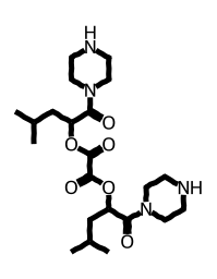 CC(C)CC(OC(=O)C(=O)OC(CC(C)C)C(=O)N1CCNCC1)C(=O)N1CCNCC1